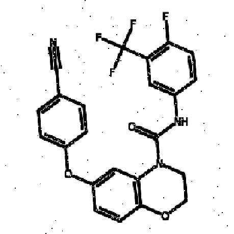 N#Cc1ccc(Oc2ccc3c(c2)N(C(=O)Nc2ccc(F)c(C(F)(F)F)c2)CCO3)cc1